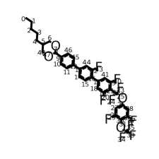 CCCCCC1COC(c2ccc(-c3ccc(-c4cc(F)c(C(F)(F)Oc5cc(F)c(OC(F)(F)F)c(F)c5)c(F)c4)c(F)c3)cc2)OC1